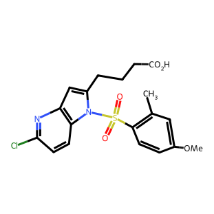 COc1ccc(S(=O)(=O)n2c(CCCC(=O)O)cc3nc(Cl)ccc32)c(C)c1